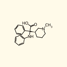 CN1CCC[C@@H](C(Nc2ccccc2)(C(=O)O)c2ccccc2)C1